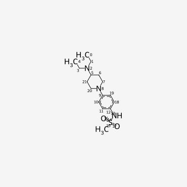 CCN(CC)C1CCN(c2ccc(NS(C)(=O)=O)cc2)CC1